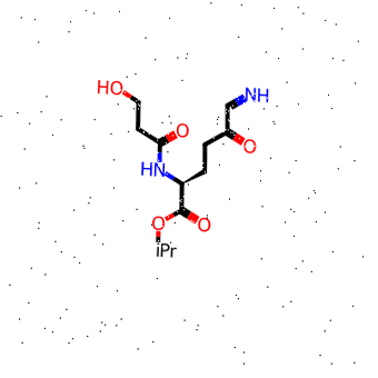 CC(C)OC(=O)[C@H](CCC(=O)C=N)NC(=O)CCO